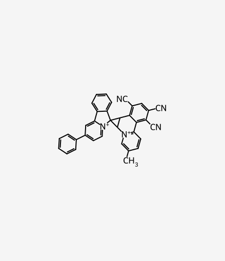 Cc1ccc2[n+](c1)C1C(c3c(C#N)cc(C#N)c(C#N)c3-2)C12c1ccccc1-c1cc(-c3ccccc3)cc[n+]12